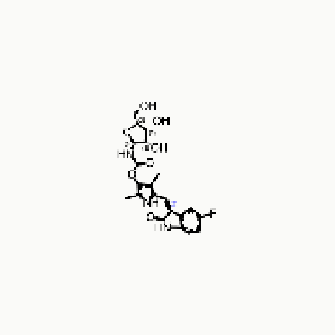 Cc1[nH]c(/C=C2\C(=O)Nc3ccc(F)cc32)c(C)c1OC(=O)N[C@H]1O[C@@H](CO)[C@H](O)[C@@H]1O